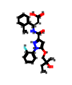 CCC(C)(O)COc1cc(C(=O)N[C@@H](CC(=O)O)c2ccccc2C)nn1-c1ccccc1F